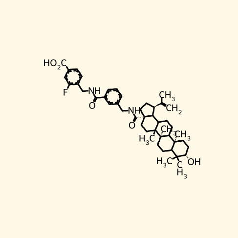 C=C(C)[C@@H]1CC[C@]2(C(=O)NCc3cccc(C(=O)NCc4ccc(C(=O)O)cc4F)c3)CC[C@]3(C)C(CCC4[C@@]5(C)CC[C@H](O)C(C)(C)C5CC[C@]43C)C12